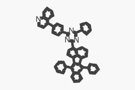 c1ccc(-c2nc(-c3ccc(-c4ccnc5ccccc45)cc3)nc(-c3ccc4c5c(cccc35)-c3c-4c(-c4ccccc4)c4ccccc4c3-c3ccccc3)n2)cc1